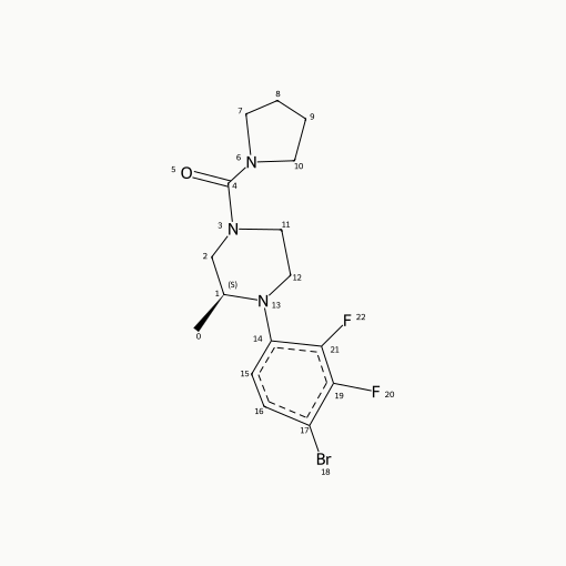 C[C@H]1CN(C(=O)N2CCCC2)CCN1c1ccc(Br)c(F)c1F